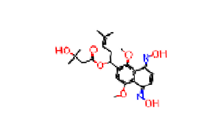 COc1cc(C(CC=C(C)C)OC(=O)CC(C)(C)O)c(OC)c2c1C(=NO)C=CC2=NO